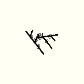 CCCCCCCCCCCOC(=O)CCCCCN(CCCCCCCC(=O)OC(CCCCCCCC)CCCCCCCC)CCOC(=O)CCN(CCCO)CCC(=O)OCCN(CCCCCCCC(=O)OC(CCCCCCCC)CCCCCCCC)CCCCCC(=O)OCCCCCCCCCCC